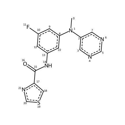 CN(c1cncnc1)c1cc(F)cc(NC(=O)c2cscn2)c1